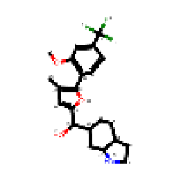 COc1cc(C(F)(F)F)ccc1-c1oc(C(O)C2CCC3CCNC3C2)cc1C